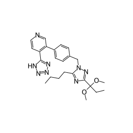 CCCCc1nc(C(CC)(OC)OC)nn1Cc1ccc(-c2cnccc2-c2nnn[nH]2)cc1